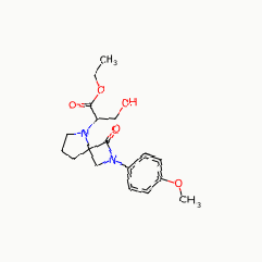 CCOC(=O)C(CO)N1CCCC12CN(c1ccc(OC)cc1)C2=O